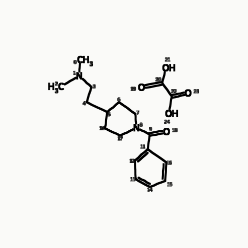 CN(C)CCC1CCN(C(=O)c2ccccc2)CC1.O=C(O)C(=O)O